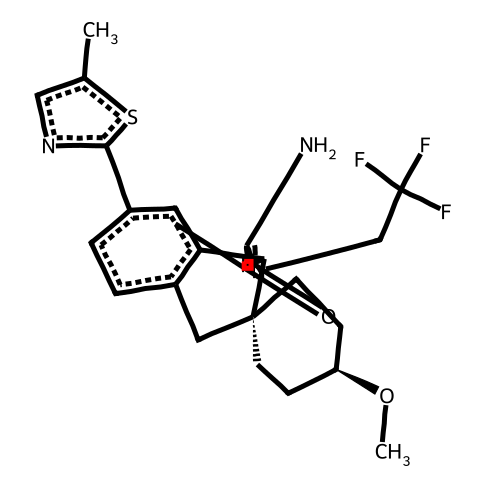 CO[C@H]1CC[C@]2(CC1)Cc1ccc(-c3ncc(C)s3)cc1C21N=C(N)N(CC(F)(F)F)C1=O